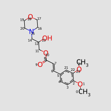 COc1ccc(C=CC(=O)OCC(O)CN2CCOCC2)cc1OC